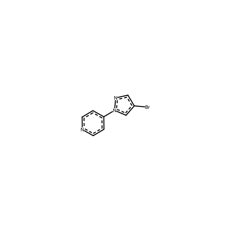 Brc1cnn(-c2ccncc2)c1